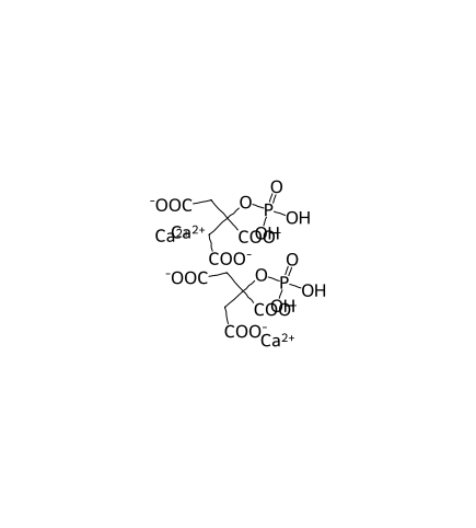 O=C([O-])CC(CC(=O)[O-])(OP(=O)(O)O)C(=O)[O-].O=C([O-])CC(CC(=O)[O-])(OP(=O)(O)O)C(=O)[O-].[Ca+2].[Ca+2].[Ca+2]